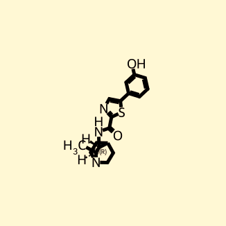 C[C@H]1[C@H](NC(=O)c2ncc(-c3cccc(O)c3)s2)C2CCN1CC2